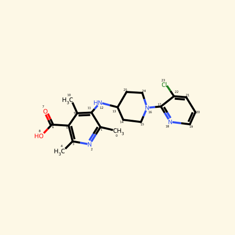 Cc1nc(C)c(C(=O)O)c(C)c1NC1CCN(c2ncccc2Cl)CC1